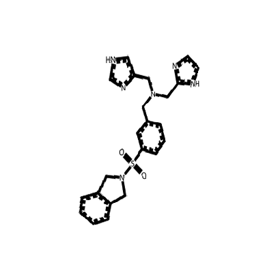 O=S(=O)(c1cccc(CN(Cc2c[nH]cn2)Cc2ncc[nH]2)c1)N1Cc2ccccc2C1